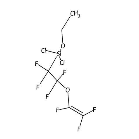 CCO[Si](Cl)(Cl)C(F)(F)C(F)(F)OC(F)=C(F)F